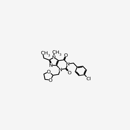 CCc1nc2c(c(=O)n(Cc3ccc(Cl)cc3)c(=O)n2CC2OCCO2)n1C